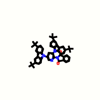 CC(C)(C)c1ccc2c(c1)c1cc(C(C)(C)C)ccc1n2-c1cnc(N2C(=O)c3ccccc3C2=O)c(-n2c3ccc(C(C)(C)C)cc3c3cc(C(C)(C)C)ccc32)c1